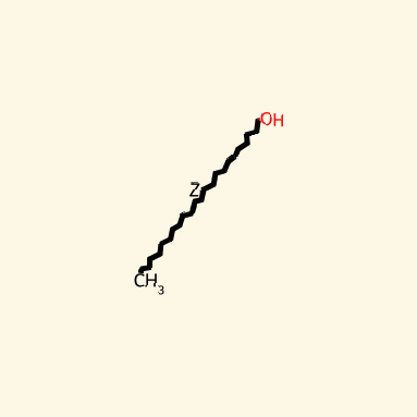 CCCCCCCCCCCCCCCCCCCCCCCCO.[Zr]